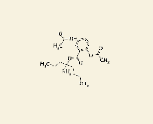 CC(=O)O.CCCCC(N)(CCC)OC(=O)c1ccccc1OC(C)=O